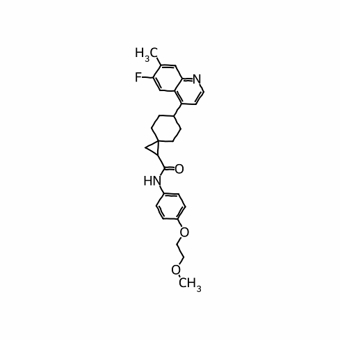 COCCOc1ccc(NC(=O)C2CC23CCC(c2ccnc4cc(C)c(F)cc24)CC3)cc1